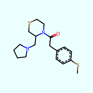 CSc1ccc(CC(=O)N2CCSCC2CN2CCCC2)cc1